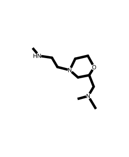 CNCCN1CCOC(CN(C)C)C1